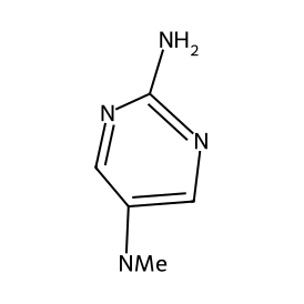 CNc1cnc(N)nc1